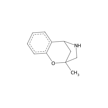 CC12CNC(C1)c1ccccc1O2